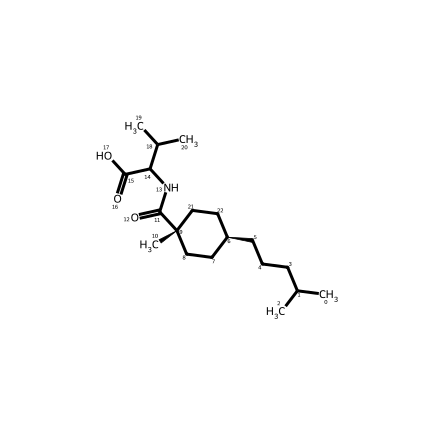 CC(C)CCC[C@H]1CC[C@](C)(C(=O)NC(C(=O)O)C(C)C)CC1